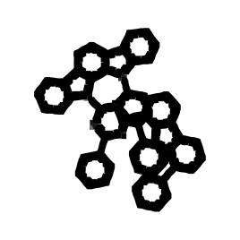 c1ccc(-c2ccc(-n3c4ccccc4c4ccc5c6ccccc6n(-c6nc(-c7ccccc7)nc(-c7cccc8c7oc7c(-c9ccccc9)cccc78)n6)c5c43)cc2)cc1